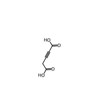 O=C(O)C#CCC(=O)O